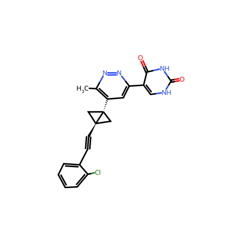 Cc1nnc(-c2c[nH]c(=O)[nH]c2=O)cc1[C@]12C[C@]1(C#Cc1ccccc1Cl)C2